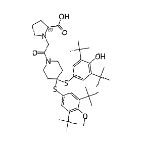 COc1c(C(C)(C)C)cc(SC2(Sc3cc(C(C)(C)C)c(O)c(C(C)(C)C)c3)CCN(C(=O)CN3CCC[C@H]3C(=O)O)CC2)cc1C(C)(C)C